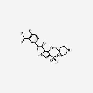 Cn1cc2c(c1C(=O)Nc1ccc(F)c(C(F)F)c1)OCC1(CCNCC1)NS2(=O)=O